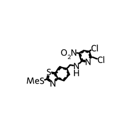 CSc1nc2ccc(CNc3nc(Cl)c(Cl)cc3[N+](=O)[O-])cc2s1